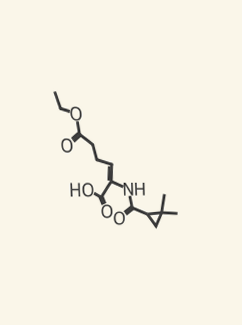 CCOC(=O)CC/C=C(/NC(=O)C1CC1(C)C)C(=O)O